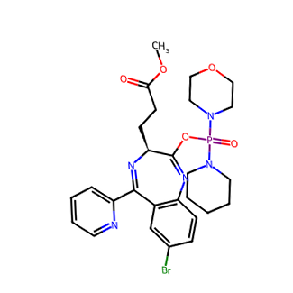 COC(=O)CC[C@@H]1N=C(c2ccccn2)c2cc(Br)ccc2N=C1OP(=O)(N1CCCCC1)N1CCOCC1